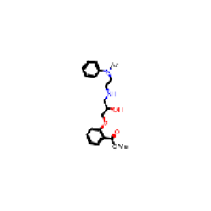 COC(=O)c1ccccc1OCC(O)CNCCN(C(C)=O)c1ccccc1